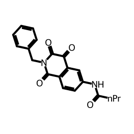 CCCC(=O)Nc1ccc2c(c1)C(=O)C(=O)N(Cc1ccccc1)C2=O